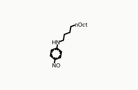 CCCCCCCCCCCCNc1ccc(N=O)cc1